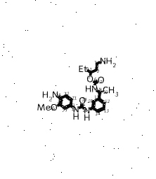 CCC(CCN)OC(=O)N[C@@H](C)c1cccc(NC(=O)Nc2ccc(N)c(OC)c2)c1